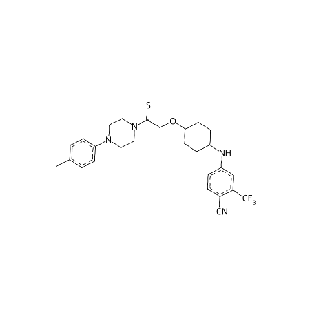 Cc1ccc(N2CCN(C(=S)COC3CCC(Nc4ccc(C#N)c(C(F)(F)F)c4)CC3)CC2)cc1